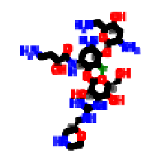 N=C(NC[C@H]1CNCCO1)N[C@@H]1C(O)[C@@H](CO)OC(OC2C(F)[C@H](O[C@H]3OC(CN)[C@@H](O)CC3N)C(N)C[C@H]2NC(=O)[C@@H](O)CCN)[C@@H]1O